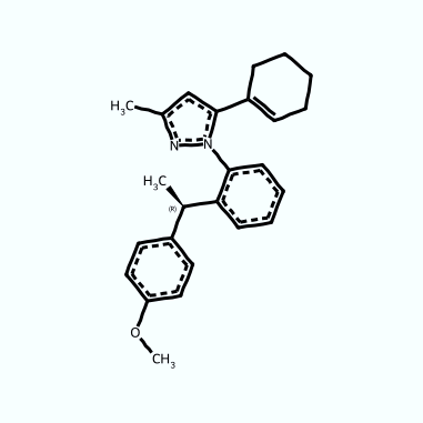 COc1ccc([C@@H](C)c2ccccc2-n2nc(C)cc2C2=CCCCC2)cc1